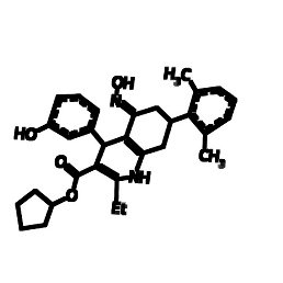 CCC1=C(C(=O)OC2CCCC2)C(c2cccc(O)c2)C2=C(CC(c3c(C)cccc3C)C/C2=N\O)N1